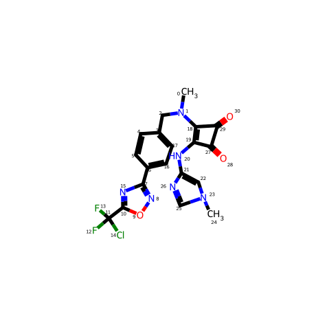 CN(Cc1ccc(-c2noc(C(F)(F)Cl)n2)cc1)c1c(Nc2cn(C)cn2)c(=O)c1=O